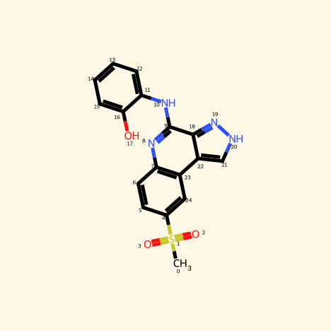 CS(=O)(=O)c1ccc2nc(Nc3ccccc3O)c3n[nH]cc3c2c1